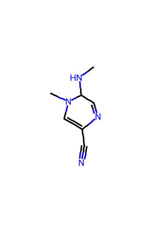 CNC1C=NC(C#N)=CN1C